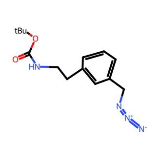 CC(C)(C)OC(=O)NCCc1cccc(CN=[N+]=[N-])c1